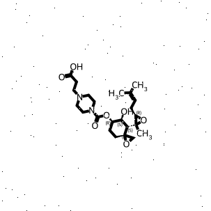 CC(C)=CC[C@H]1OC1(C)[C@H]1[C@H](O)[C@H](OC(=O)N2CCN(CCC(=O)O)CC2)CC[C@]12CO2